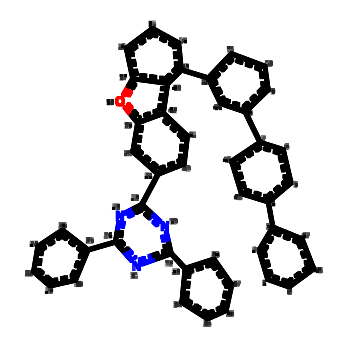 c1ccc(-c2ccc(-c3cccc(-c4cccc5oc6cc(-c7nc(-c8ccccc8)nc(-c8ccccc8)n7)ccc6c45)c3)cc2)cc1